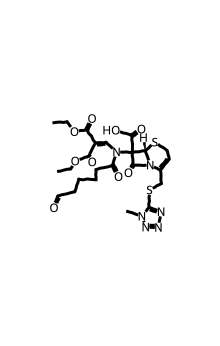 CCOC(=O)C(=CN(C(=O)CCCCC=O)C1(C(=O)O)C(=O)N2C(CSc3nnnn3C)=CCS[C@H]21)C(=O)OCC